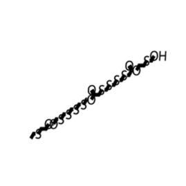 CCSCCOOCSCSCSCSCOC(=O)CSCSCSCSCC(=O)OCCSCO